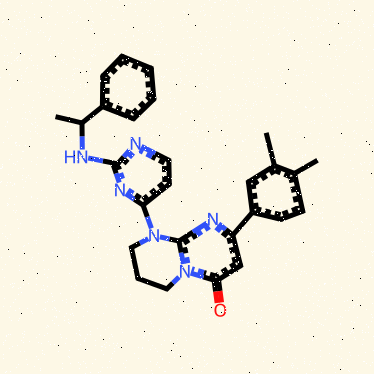 Cc1ccc(-c2cc(=O)n3c(n2)N(c2ccnc(NC(C)c4ccccc4)n2)CCC3)cc1C